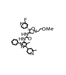 COCCN1C[C@@H](NC(=O)Nc2c(C)c(-c3ccnc(C)c3)nn2-c2ccccc2)[C@H](c2ccnc(F)c2)O1